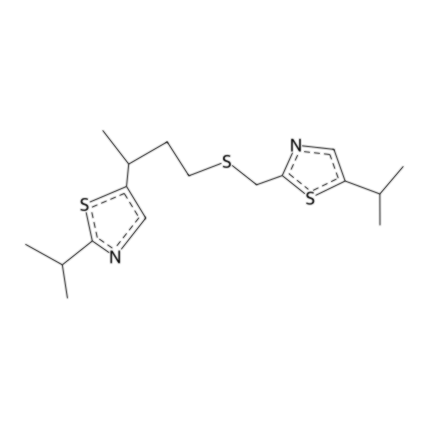 CC(C)c1cnc(CSCCC(C)c2cnc(C(C)C)s2)s1